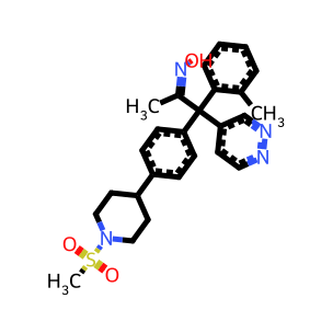 C/C(=N/O)C(c1ccc(C2CCN(S(C)(=O)=O)CC2)cc1)(c1ccnnc1)c1ccccc1C